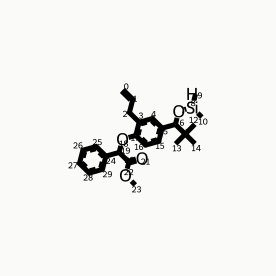 C=CCc1cc(C(O[SiH](C)C)C(C)(C)C)ccc1OC(C(=O)OC)c1ccccc1